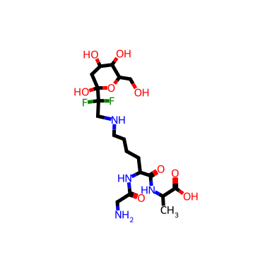 CC(NC(=O)C(CCCCNCC(F)(F)C1(O)CC(O)C(O)C(CO)O1)NC(=O)CN)C(=O)O